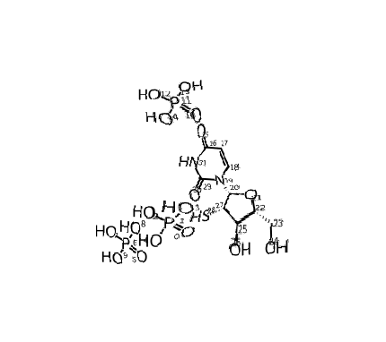 O=P(O)(O)O.O=P(O)(O)O.O=P(O)(O)O.O=c1ccn([C@@H]2O[C@H](CO)[C@@H](O)[C@@H]2S)c(=O)[nH]1